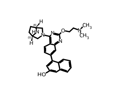 CN(C)CCOc1nc(N2C[C@H]3CC[C@@H](C2)N3)c2ccc(-c3cc(O)cc4ccccc34)cc2n1